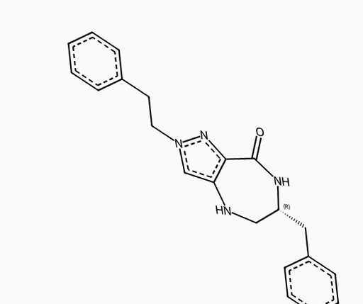 O=C1N[C@H](Cc2ccccc2)CNc2cn(CCc3ccccc3)nc21